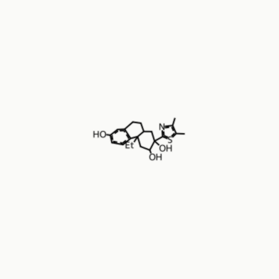 CCC12CC(O)C(O)(c3nc(C)c(C)s3)CC1CCc1cc(O)ccc12